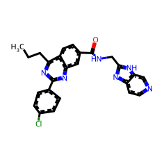 CCCc1nc(-c2ccc(Cl)cc2)nc2cc(C(=O)NCc3nc4ccncc4[nH]3)ccc12